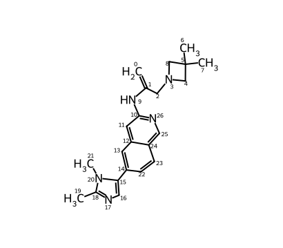 C=C(CN1CC(C)(C)C1)Nc1cc2cc(-c3cnc(C)n3C)ccc2cn1